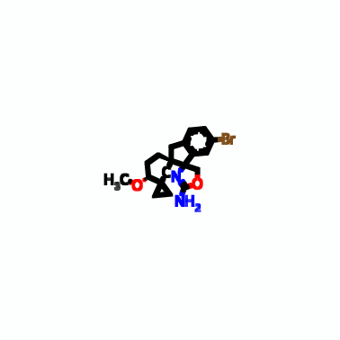 CO[C@@H]1CC[C@]2(Cc3ccc(Br)cc3C23COC(N)=N3)CC12CC2